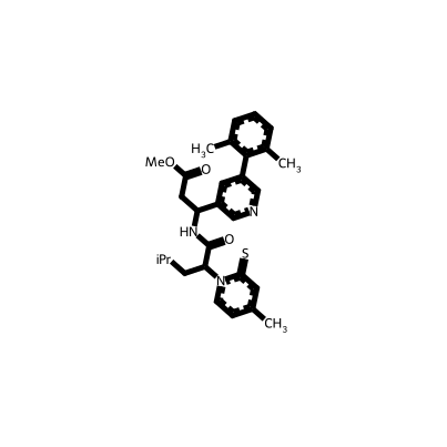 COC(=O)CC(NC(=O)C(CC(C)C)n1ccc(C)cc1=S)c1cncc(-c2c(C)cccc2C)c1